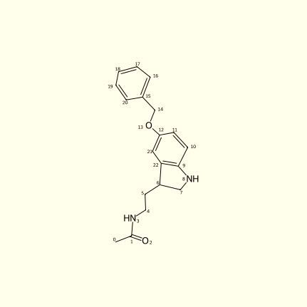 CC(=O)NCCC1CNc2ccc(OCc3ccccc3)cc21